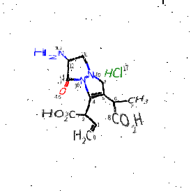 C=CC(C(=O)O)C1=C(C(C)C(=O)O)CN2C[C@H](N)C(=O)N12.Cl